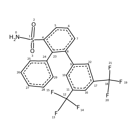 NS(=O)(=O)c1cccc(-c2cc(C(F)(F)F)cc(C(F)(F)F)c2)c1-c1ccccc1